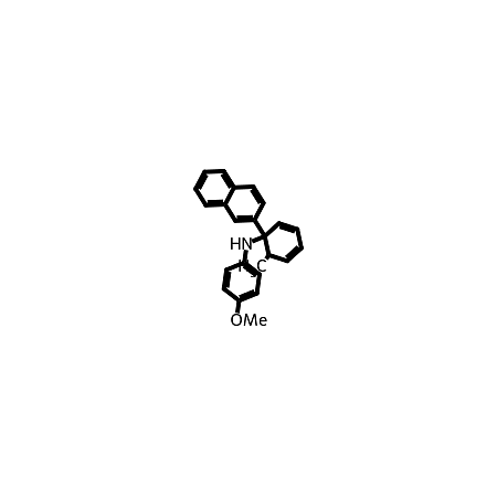 COc1ccc(NC2(c3ccc4ccccc4c3)C=CC=CC2C)cc1